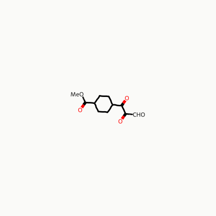 COC(=O)C1CCC(C(=O)C(=O)C=O)CC1